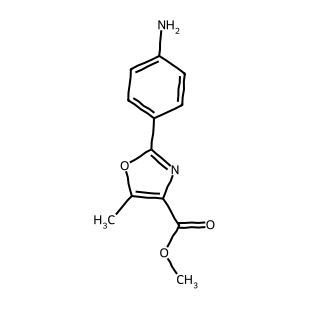 COC(=O)c1nc(-c2ccc(N)cc2)oc1C